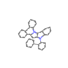 c1ccc(-c2ccccc2-n2c3ccccc3c3c2cc2c4ccccc4c4ccccc4n23)cc1